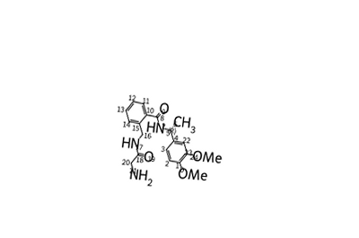 COc1ccc([C@@H](C)NC(=O)c2ccccc2CNC(=O)CN)cc1OC